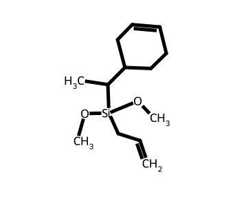 C=CC[Si](OC)(OC)C(C)C1CC=CCC1